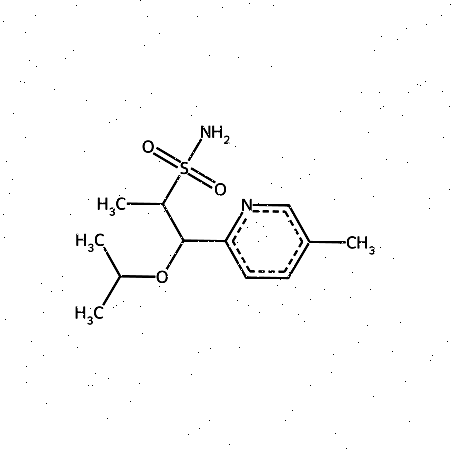 Cc1ccc(C(OC(C)C)C(C)S(N)(=O)=O)nc1